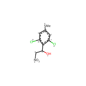 CSc1cc(Cl)c(C(O)C[N+](=O)[O-])c(Cl)c1